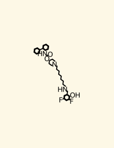 O=C(Nc1ccccc1-c1ccccc1)OC1CCN(CCCCCCCCCNCc2cc(F)cc(F)c2O)CC1